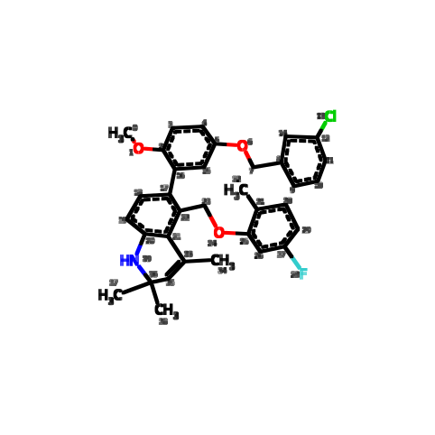 COc1ccc(OCc2cccc(Cl)c2)cc1-c1ccc2c(c1COc1cc(F)ccc1C)C(C)=CC(C)(C)N2